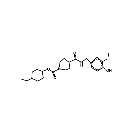 CCC1CCC(OC(=O)N2CCC(C(=O)NCc3ccc(O)c(OC)c3)CC2)CC1